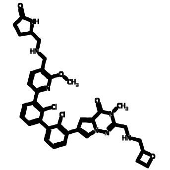 COc1nc(-c2cccc(-c3cccc(-c4cc5c(=O)n(C)c(CNCC6CCO6)nn5c4)c3Cl)c2Cl)ccc1CNCC1CCC(=O)N1